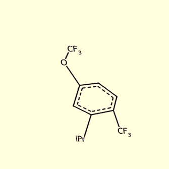 CC(C)c1cc(OC(F)(F)F)ccc1C(F)(F)F